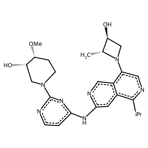 CO[C@@H]1CCN(c2nccc(Nc3cc4c(C(C)C)ncc(N5C[C@H](O)[C@H]5C)c4cn3)n2)C[C@@H]1O